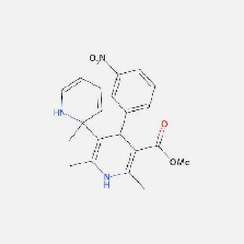 COC(=O)C1=C(C)NC(C)=C(C2(C)C=CC=CN2)C1c1cccc([N+](=O)[O-])c1